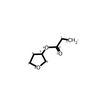 [CH2]CC(=O)OC1CCOC1